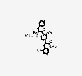 CCCC1CN(C(Cc2ccc(Cl)cc2Cl)C(=O)NC)CCN1C(=O)C(Cc1ccc(F)cc1)NC(=O)OC